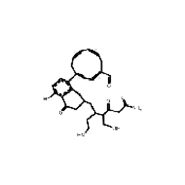 NC(=O)CC(=O)C(CO)C(CCO)CC1CC(=O)c2c(O)ccc(/C3=C/C=C(/C=O)C/C=C\C=C/C3)c2C1